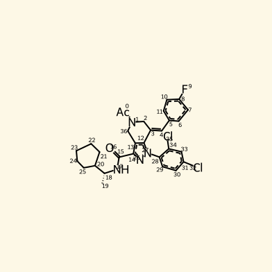 CC(=O)N1C/C(=C\c2ccc(F)cc2)c2c(c(C(=O)N[C@H](C)C3CCCCC3)nn2-c2ccc(Cl)cc2Cl)C1